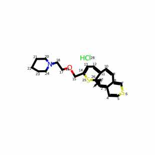 C1=CC2=C3C=CSC=C3C=CC3=CC=C(COCCN4CCCCC4)SC32C1.Cl